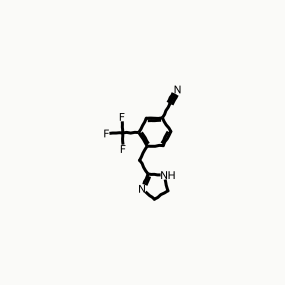 N#Cc1ccc(CC2=NCCN2)c(C(F)(F)F)c1